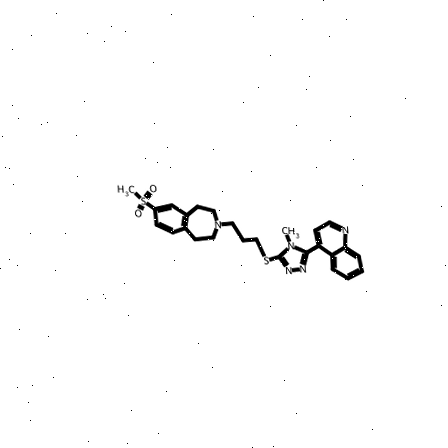 Cn1c(SCCCN2CCc3ccc(S(C)(=O)=O)cc3CC2)nnc1-c1ccnc2ccccc12